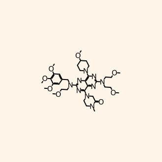 COCCN(Cc1cc(OC)c(OC)c(OC)c1)c1nc(N2CCN(C)C(=O)C2)c2nc(N(CCOC)CCOC)nc(N3CCC(OC)CC3)c2n1